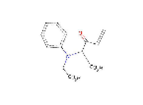 C=CC(=O)C(C(=O)O)N(CC(=O)O)c1ccccc1